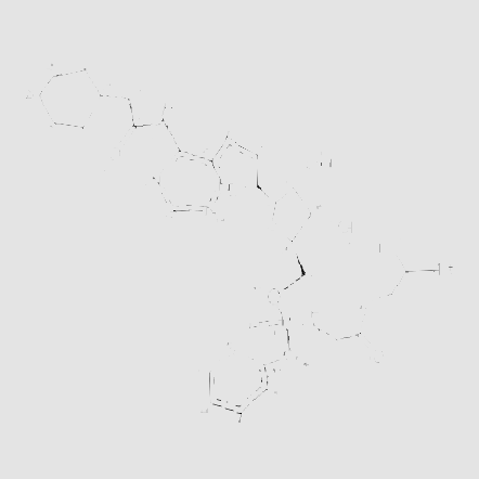 CCC(CC)COC(=O)[C@H](C)N[P@](=O)(OC[C@H]1O[C@@H](c2ccc3c(NC(=O)CC4CCCCC4)ncnn23)[C@H](O)[C@@H]1O)Oc1ccccc1